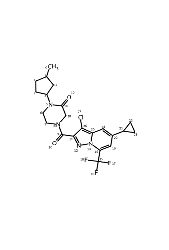 CC1CCC(N2CCN(C(=O)c3nn4c(C(F)(F)F)cc(C5CC5)cc4c3Cl)CC2=O)C1